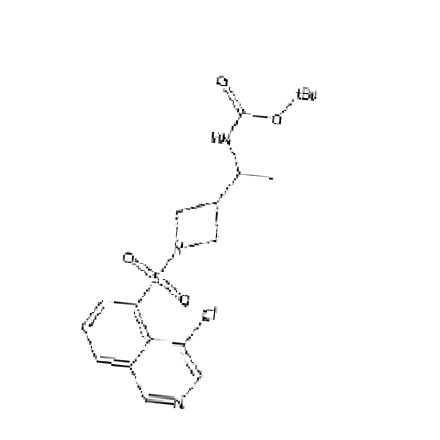 CC(NC(=O)OC(C)(C)C)C1CN(S(=O)(=O)c2cccc3cncc(Cl)c23)C1